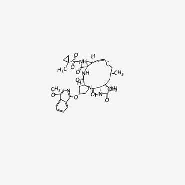 COc1cnc(O[C@@H]2C[C@H]3C(=O)N[C@]4(C(=O)NS(=O)(=O)C5(C)CC5)C[C@H]4/C=C\CC[C@@H](C)C[C@@H](C)[C@H](NC(=O)O)C(=O)N3C2)c2ccccc12